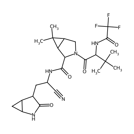 CC(C)(C)C(NC(=O)C(F)(F)F)C(=O)N1CC2C(C1C(=O)NC(C#N)CC1C(=O)NC3CC31)C2(C)C